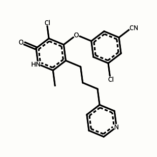 Cc1[nH]c(=O)c(Cl)c(Oc2cc(Cl)cc(C#N)c2)c1CCCc1cccnc1